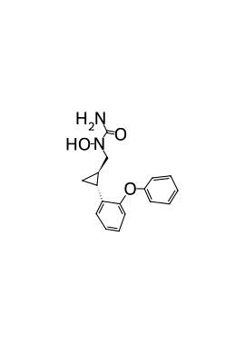 NC(=O)N(O)C[C@@H]1C[C@H]1c1ccccc1Oc1ccccc1